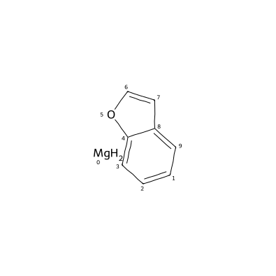 [MgH2].c1ccc2occc2c1